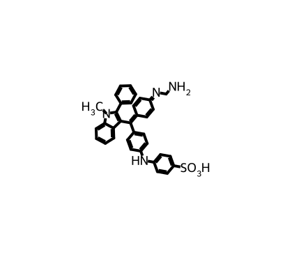 Cn1c(-c2ccccc2)c(C(=C2C=CC(=NCN)C=C2)c2ccc(Nc3ccc(S(=O)(=O)O)cc3)cc2)c2ccccc21